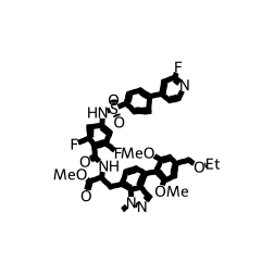 CCOCc1cc(OC)c(-c2ccc(CC(NC(=O)c3c(F)cc(NS(=O)(=O)c4ccc(-c5ccnc(F)c5)cc4)cc3F)C(=O)OC)c3c2cnn3C)c(OC)c1